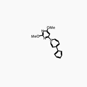 COc1cc(N2C=CC=C(c3ccccc3)C=C2)nc(OC)n1